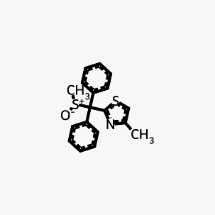 Cc1csc(C(c2ccccc2)(c2ccccc2)[S+](C)[O-])n1